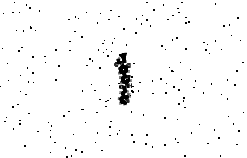 CC(=O)N(CC1CC1)c1ccc(-c2ccc(NC(=O)CCc3cccnc3F)cn2)cc1Cl